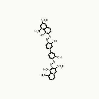 Nc1cc(S(=O)(=O)O)cc2ccc(N=Nc3ccc(-c4ccc(N=Nc5c(S(=O)(=O)O)cc6cccc(N)c6c5O)c(O)c4)cc3O)c(O)c12